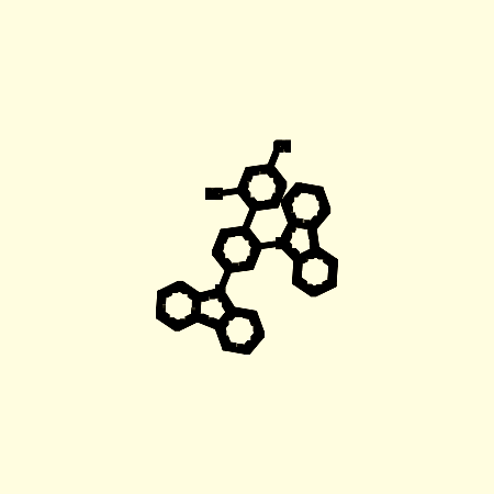 N#Cc1ccc(-c2ccc(-n3c4ccccc4c4ccccc43)cc2-n2c3ccccc3c3ccccc32)c(C#N)c1